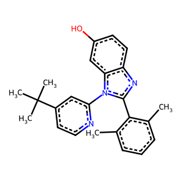 Cc1cccc(C)c1-c1nc2ccc(O)cc2n1-c1cc(C(C)(C)C)ccn1